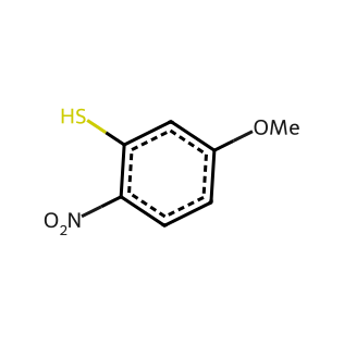 COc1ccc([N+](=O)[O-])c(S)c1